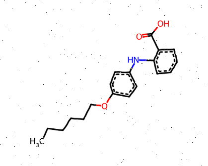 CCCCCCOc1ccc(Nc2ccccc2C(=O)O)cc1